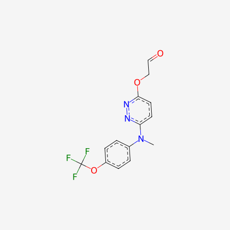 CN(c1ccc(OC(F)(F)F)cc1)c1ccc(OCC=O)nn1